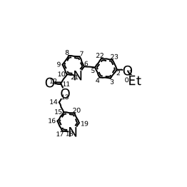 CCOc1ccc(-c2cccc(C(=O)OCc3ccncc3)n2)cc1